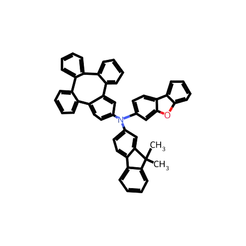 CC1(C)c2ccccc2-c2ccc(N(c3ccc4c(c3)-c3ccccc3-c3ccccc3-c3ccccc3-4)c3ccc4c(c3)oc3ccccc34)cc21